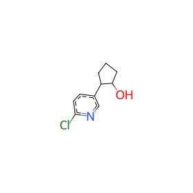 OC1CCCC1c1ccc(Cl)nc1